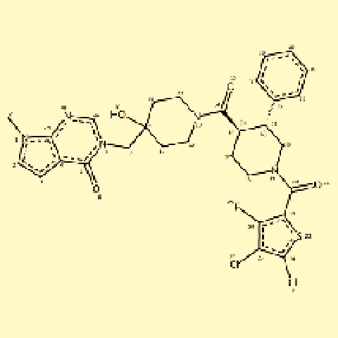 Cn1ccc2c(=O)n(CC3(O)CCN(C(=O)[C@@H]4CCN(C(=O)c5sc(Cl)c(Cl)c5F)C[C@H]4c4ccccc4)CC3)cnc21